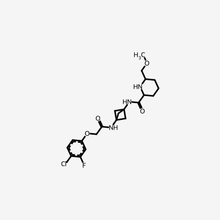 COCC1CCCC(C(=O)NC23CC(NC(=O)COc4ccc(Cl)c(F)c4)(C2)C3)N1